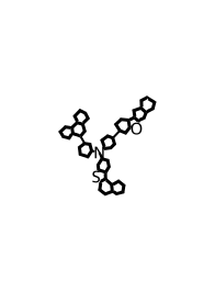 c1cc(-c2cc3ccccc3c3ccccc23)cc(N(c2ccc(-c3ccc4c(c3)oc3cc5ccccc5cc34)cc2)c2ccc3c(c2)sc2ccc4ccccc4c23)c1